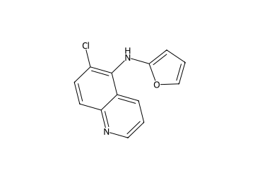 Clc1ccc2ncccc2c1Nc1ccco1